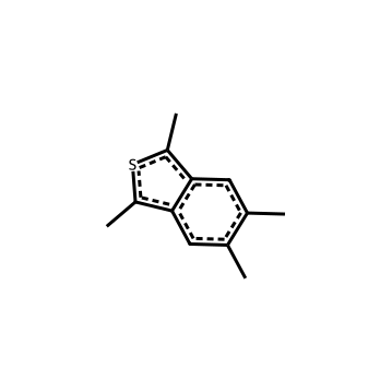 Cc1cc2c(C)sc(C)c2cc1C